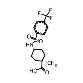 C[C@]1(C(=O)O)CC[C@H](NS(=O)(=O)c2ccc(C(F)(F)F)cc2)CC1